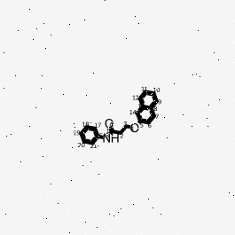 O=C(CCOc1ccc2ccccc2c1)Nc1ccccc1